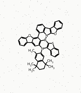 Cc1cc2c(cc1N1c3cc4c(oc5ccccc54)c4c3B(c3sc5ccccc5c31)n1c3oc5ccccc5c3c3cccc-4c31)C(C)(C)CCC2(C)C